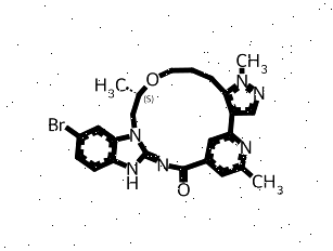 Cc1cc2cc(n1)-c1cnn(C)c1CCCO[C@@H](C)CN1C(=NC2=O)Nc2ccc(Br)cc21